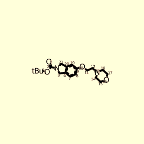 CC(C)(C)OC(=O)N1Cc2ccc(OCCN3CCOCC3)cc2C1